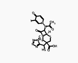 CC(=O)N(C1C(=O)N2CC(C(=O)O)(C(S)c3nnnn3C)CS[C@H]12)n1ccc(=O)c(I)c1